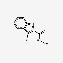 NNC(=O)c1sc2ccccc2c1Cl